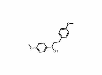 COc1ccc(CCC(O)c2ccc(OC)cc2)cc1